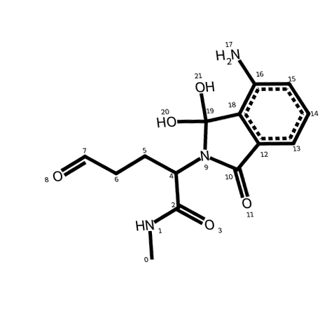 CNC(=O)C(CCC=O)N1C(=O)c2cccc(N)c2C1(O)O